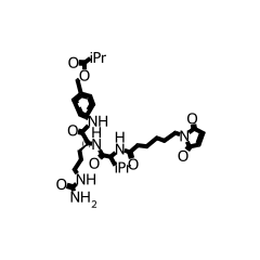 CC(C)C(=O)OCc1ccc(NC(=O)[C@H](CCCNC(N)=O)NC(=O)C(NC(=O)CCCCCN2C(=O)C=CC2=O)C(C)C)cc1